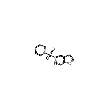 O=S(=O)(c1ccccc1)c1cc2ccoc2cn1